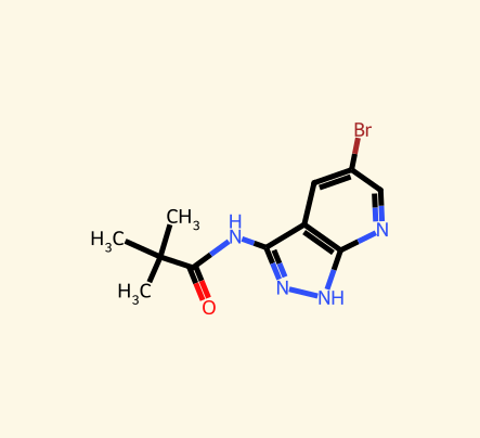 CC(C)(C)C(=O)Nc1n[nH]c2ncc(Br)cc12